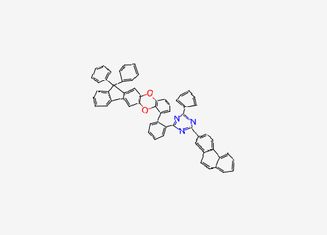 c1ccc(-c2nc(-c3ccc4c(ccc5ccccc54)c3)nc(-c3ccccc3-c3cccc4c3Oc3cc5c(cc3O4)C(c3ccccc3)(c3ccccc3)c3ccccc3-5)n2)cc1